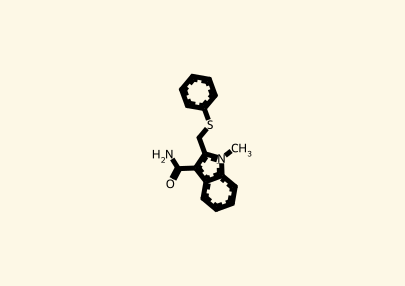 Cn1c(CSc2ccccc2)c(C(N)=O)c2ccccc21